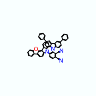 N#Cc1ccc(-n2c3ccccc3c3c4oc5ccccc5c4ccc32)c(-n2c3ccc(-c4ccccc4)cc3c3cc(-c4ccccc4)ccc32)c1C#N